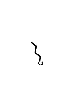 CCC[CH2][Cd]